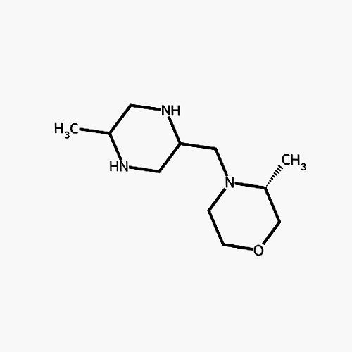 CC1CNC(CN2CCOC[C@H]2C)CN1